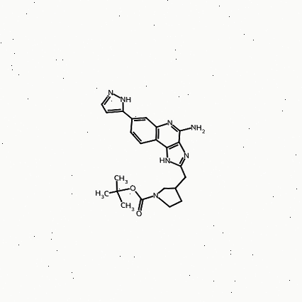 CC(C)(C)OC(=O)N1CCC(Cc2nc3c(N)nc4cc(-c5ccn[nH]5)ccc4c3[nH]2)C1